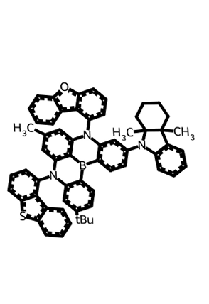 Cc1cc2c3c(c1)N(c1cccc4sc5ccccc5c14)c1cc(C(C)(C)C)ccc1B3c1ccc(N3c4ccccc4C4(C)CCCCC34C)cc1N2c1cccc2oc3ccccc3c12